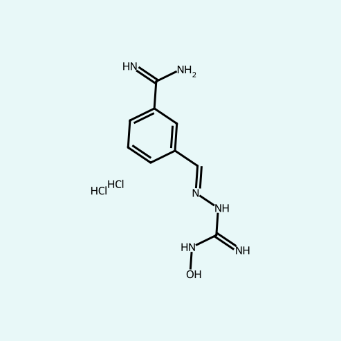 Cl.Cl.N=C(NO)NN=Cc1cccc(C(=N)N)c1